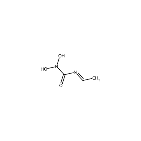 CC=NC(=O)N(O)O